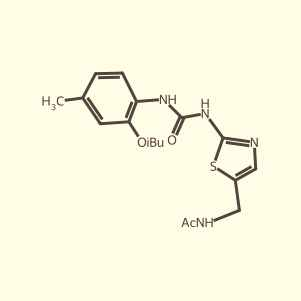 CC(=O)NCc1cnc(NC(=O)Nc2ccc(C)cc2OCC(C)C)s1